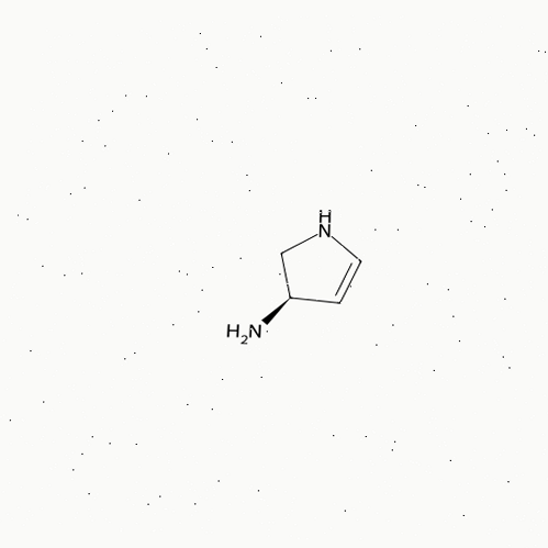 N[C@@H]1C=CNC1